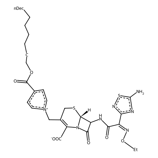 CCCCCCCCCCCCCCCCOC(=O)c1cc[n+](CC2=C(C(=O)[O-])N3C(=O)C(NC(=O)/C(=N\OCC)c4nsc(N)n4)[C@H]3SC2)cc1